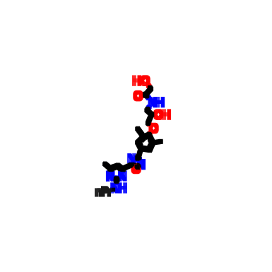 CCCNc1nc(C)cc(-c2nc(-c3cc(C)c(OCC(O)CNC(=O)CO)c(C)c3)no2)n1